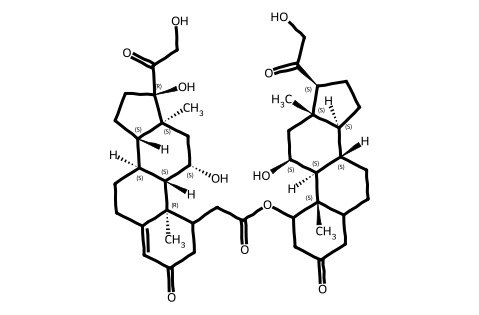 C[C@]12C(CC[C@@H]3[C@@H]1[C@@H](O)C[C@]1(C)[C@@H](C(=O)CO)CC[C@@H]31)CC(=O)CC2OC(=O)CC1CC(=O)C=C2CC[C@@H]3[C@H]([C@@H](O)C[C@@]4(C)[C@H]3CC[C@]4(O)C(=O)CO)[C@]21C